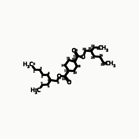 CCCCCC(CCC)COC(=O)C1CCC(C(=O)OCC(CC)CCCC)CC1